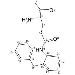 CC(=O)[C@@H](N)CCC(=O)Nc1ccccc1Cc1ccccc1